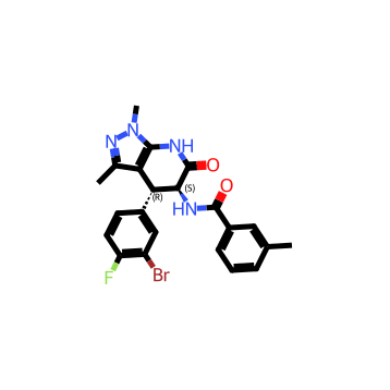 Cc1cccc(C(=O)N[C@@H]2C(=O)Nc3c(c(C)nn3C)[C@H]2c2ccc(F)c(Br)c2)c1